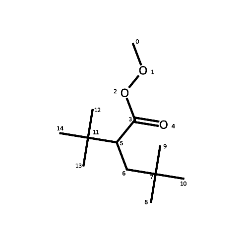 COOC(=O)C(CC(C)(C)C)C(C)(C)C